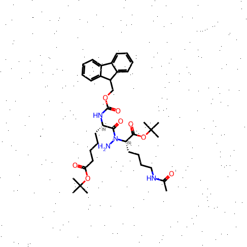 CC(=O)NCCCC[C@@H](C(=O)OC(C)(C)C)N(N)C(=O)[C@H](CCCCC(=O)OC(C)(C)C)NC(=O)OCC1c2ccccc2-c2ccccc21